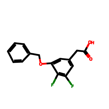 O=C(O)Cc1cc(F)c(F)c(OCc2ccccc2)c1